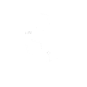 CC(C)(C)Oc1cccc(Nc2ccccc2)c1